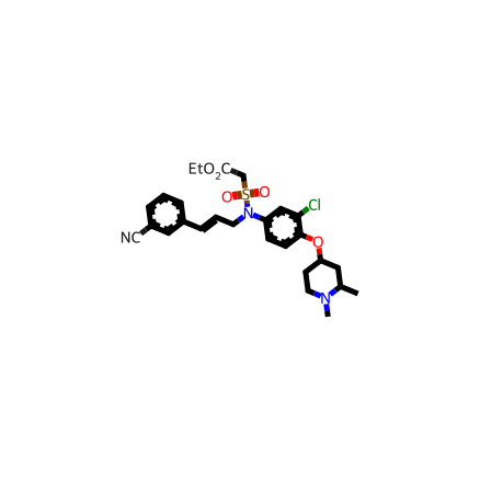 CCOC(=O)CS(=O)(=O)N(C/C=C/c1cccc(C#N)c1)c1ccc(OC2CCN(C)C(C)C2)c(Cl)c1